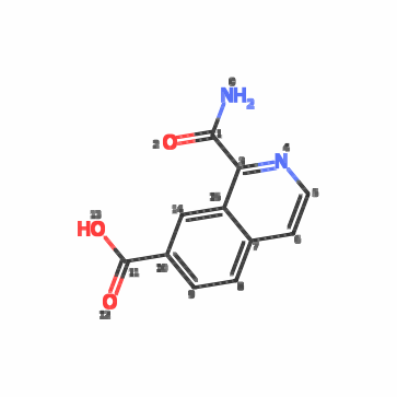 NC(=O)c1nccc2ccc(C(=O)O)cc12